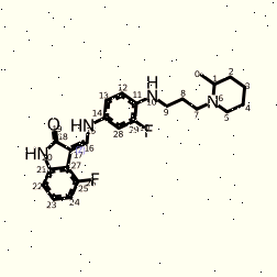 CC1CCCCN1CCCNc1ccc(N/C=C2\C(=O)Nc3cccc(F)c32)cc1F